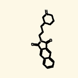 O=C1c2cc3ccccc3cc2C(=O)N1CCCC1CCCNC1